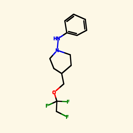 FCC(F)(F)OCC1CCN(Nc2ccccc2)CC1